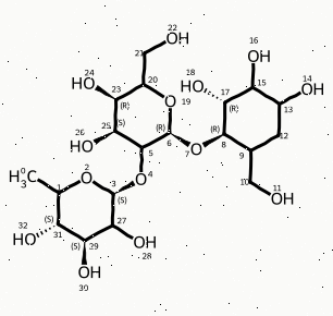 CC1O[C@@H](OC2[C@H](O[C@@H]3C(CO)CC(O)C(O)[C@H]3O)OC(CO)[C@H](O)[C@@H]2O)C(O)[C@@H](O)[C@@H]1O